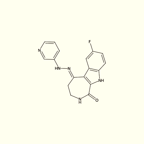 O=C1NCC/C(=N\Nc2cccnc2)c2c1[nH]c1ccc(F)cc21